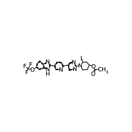 CC(=O)OC1CCN(c2ncc(-c3ccc(-c4nc5ccc(OC(F)(F)F)cc5[nH]4)cn3)cn2)C(I)C1